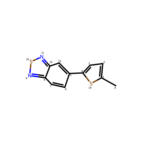 Cc1ccc(-c2ccc3nsnc3c2)s1